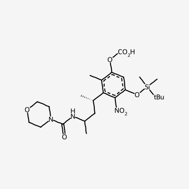 Cc1c(OC(=O)O)cc(O[Si](C)(C)C(C)(C)C)c([N+](=O)[O-])c1[C@@H](C)CC(C)NC(=O)N1CCOCC1